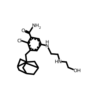 NC(=O)c1cc(NCCNCCO)cc(CC23CC4CC(CC(C4)C2)C3)c1Cl